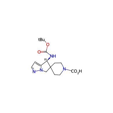 CC(C)(C)OC(=O)N[C@@H]1c2ccnn2CC12CCN(C(=O)O)CC2